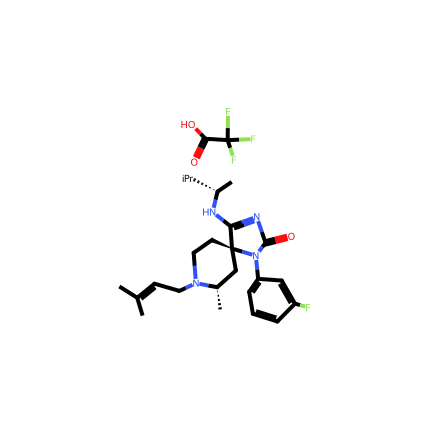 CC(C)=CCN1CC[C@@]2(C[C@@H]1C)C(N[C@@H](C)C(C)C)=NC(=O)N2c1cccc(F)c1.O=C(O)C(F)(F)F